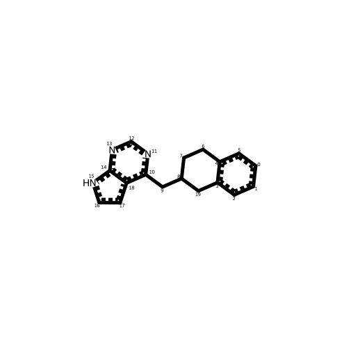 c1ccc2c(c1)CCC(Cc1ncnc3[nH]ccc13)C2